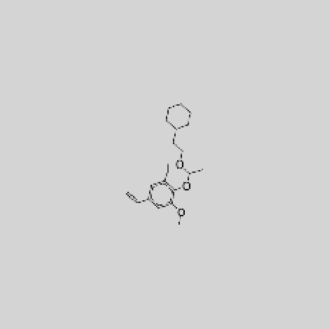 C=Cc1cc(I)c(OC(C)OCCC2CCCCC2)c(OC)c1